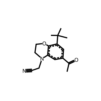 CC(=O)c1cc2c(c(C(C)(C)C)c1)OCCN2CC#N